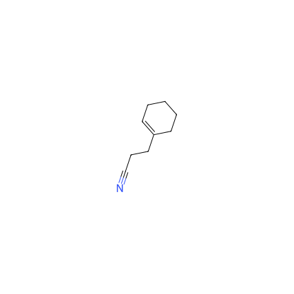 N#CCCC1=CCCCC1